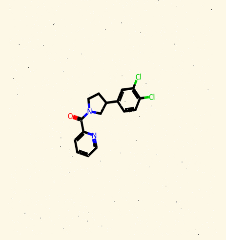 O=C(c1ccccn1)N1CC[C](c2ccc(Cl)c(Cl)c2)C1